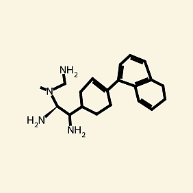 CN(CN)[C@H](N)C(N)C1CC=C(c2cccc3c2C=CCC3)CC1